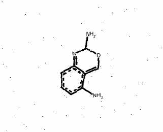 Nc1cccc2c1=COC(N)N=2